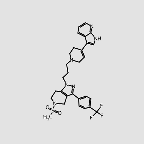 CS(=O)(=O)N1CCc2c(c(-c3ccc(C(F)(F)F)cc3)nn2CCCN2CC=C(c3c[nH]c4ncccc34)CC2)C1